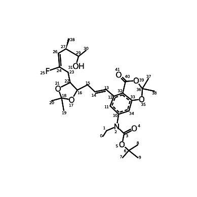 CCN(C(=O)OC(C)(C)C)c1cc(/C=C/CC2OC(C)(C)OC2C/C(F)=C\[C@@H](C)C(C)O)c2c(c1)OC(C)(C)OC2=O